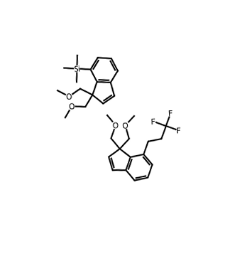 COCC1(COC)C=Cc2cccc(CCC(F)(F)F)c21.COCC1(COC)C=Cc2cccc([Si](C)(C)C)c21